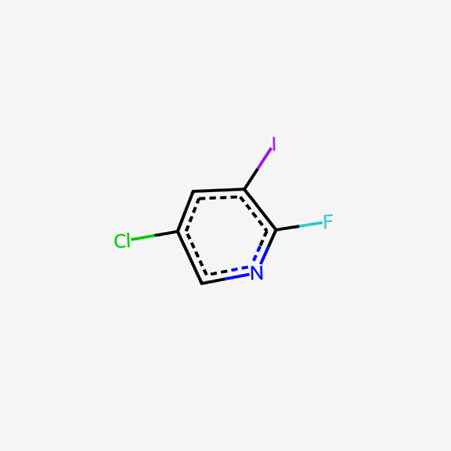 Fc1ncc(Cl)cc1I